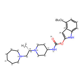 CC(C)COc1cccc2[nH]c(OC(=O)NC3CCN([C@@H](C)CN4CCCCCC4)CC3)cc12